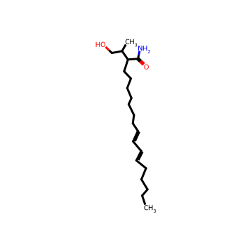 CCCCC/C=C/C=C/CCCCCCCC(C(N)=O)C(C)CO